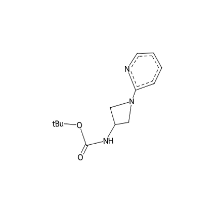 CC(C)(C)OC(=O)NC1CN(c2ccccn2)C1